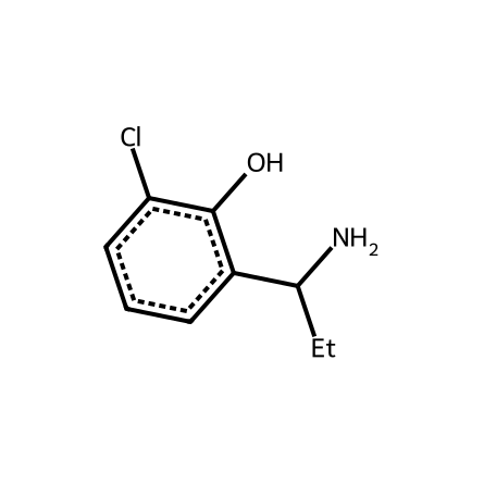 CCC(N)c1cccc(Cl)c1O